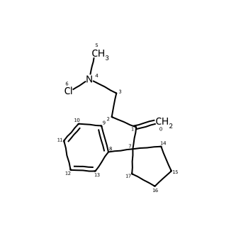 C=C(CCN(C)Cl)C1(c2ccccc2)CCCC1